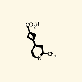 O=C(O)C12CC(c3ccnc(C(F)(F)F)c3)(C1)C2